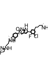 C[C@H](N)CCCc1cc(Cl)c(F)c(-c2cc3cn(-c4ccc([C@@H](C)NCCCNC(=N)CF)c(F)c4)c(=O)nc3[nH]2)c1